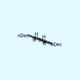 CCCCCCCCCCCCCCCC(=O)NCCOCCNC(=O)CCCCCCCCCCCCCCC